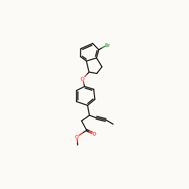 CC#CC(CC(=O)OC)c1ccc(OC2CCc3c(Br)cccc32)cc1